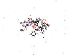 CC(=O)O[C@@]12COC1C[C@H](O)[C@@]1(C)C(=O)[C@H](O)C3=C(C)[C@@H](OC(=O)[C@H](O)[C@H](CC(C)C)NC(=O)OC(C)(C)C)C[C@@](O)([C@@H](OC(=O)c4ccccc4)[C@@H]12)C3(C)C